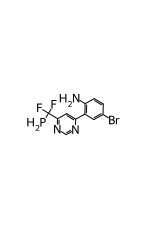 Nc1ccc(Br)cc1-c1cc(C(F)(F)P)ncn1